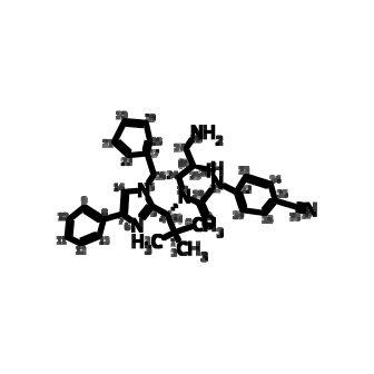 CC(C)(C)[C@H](c1nc(-c2ccccc2)cn1Cc1ccccc1)N(C[C@H](F)CN)C(=O)Nc1ccc(C#N)cc1